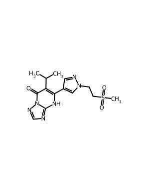 CC(C)c1c(-c2cnn(CCS(C)(=O)=O)c2)[nH]c2ncnn2c1=O